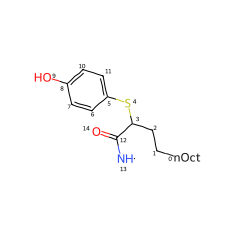 CCCCCCCCCCC(Sc1ccc(O)cc1)C([NH])=O